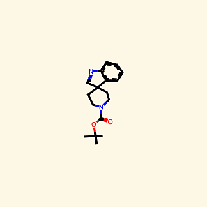 CC(C)(C)OC(=O)N1CCC2(C=Nc3ccccc32)CC1